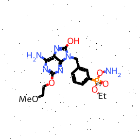 CCO[P@@](=O)(ON)c1cccc(Cn2c(O)nc3c(N)nc(OCCOC)nc32)c1